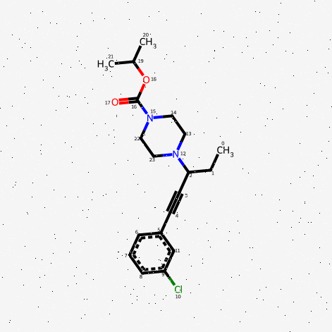 CCC(C#Cc1cccc(Cl)c1)N1CCN(C(=O)OC(C)C)CC1